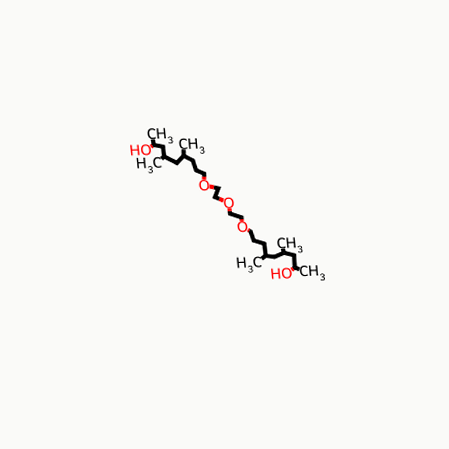 CC(O)CC(C)CC(C)CCCOCCOCCOCCCC(C)CC(C)CC(C)O